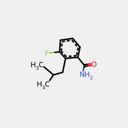 CC(C)Cc1c(F)cccc1C(N)=O